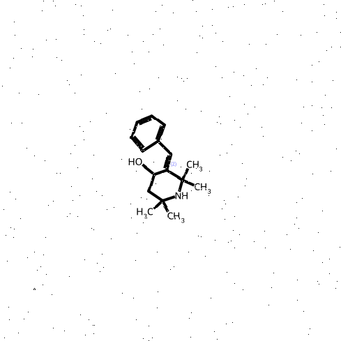 CC1(C)CC(O)/C(=C\c2ccccc2)C(C)(C)N1